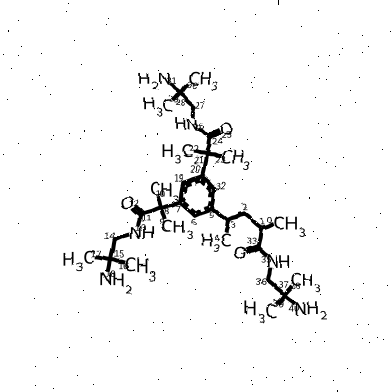 CC(CC(C)c1cc(C(C)(C)C(=O)NCC(C)(C)N)cc(C(C)(C)C(=O)NCC(C)(C)N)c1)C(=O)NCC(C)(C)N